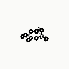 C1=CCC(c2nc(-c3ccccc3)nc(-c3cccc4sc5cc(-c6cccc(N(c7ccc8ccccc8c7)c7cccc8ccccc78)c6)ccc5c34)n2)C=C1